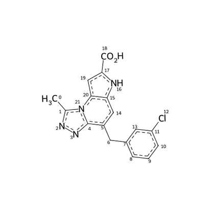 Cc1nnc2c(Cc3cccc(Cl)c3)cc3[nH]c(C(=O)O)cc3n12